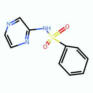 O=S(=O)(Nc1cnccn1)c1ccccc1